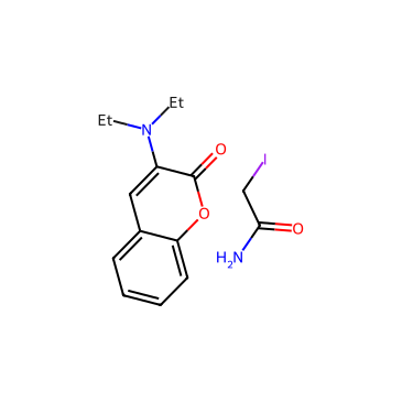 CCN(CC)c1cc2ccccc2oc1=O.NC(=O)CI